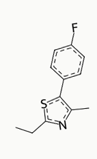 CCc1nc(C)c(-c2ccc(F)cc2)s1